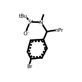 CCCC(c1ccc(Br)cc1)N(C)[S+]([O-])C(C)(C)C